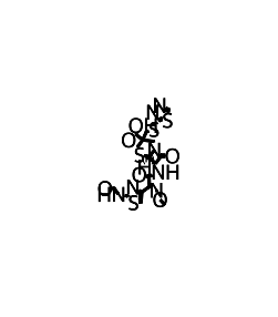 CON=C(C(=O)NC1C(=O)N2CC(CSc3nncs3)(C(=O)O)CS[C@H]12)c1csc(NC=O)n1